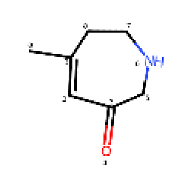 CC1=CC(=O)CNCC1